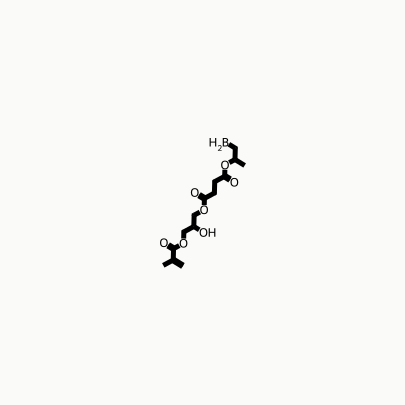 BCC(C)OC(=O)CCC(=O)OCC(O)COC(=O)C(=C)C